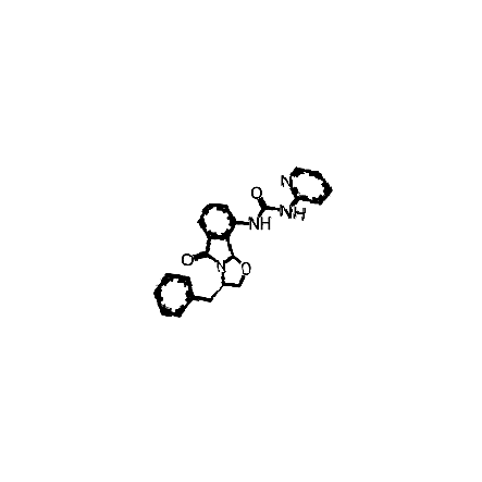 O=C(Nc1ccccn1)Nc1cccc2c1C1OC[C@@H](Cc3ccccc3)N1C2=O